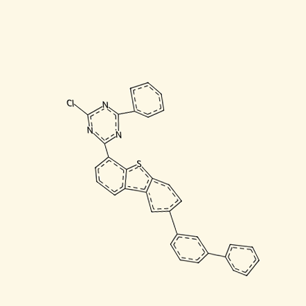 Clc1nc(-c2ccccc2)nc(-c2cccc3c2sc2ccc(-c4cccc(-c5ccccc5)c4)cc23)n1